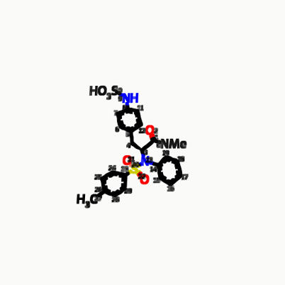 CNC(=O)[C@H](Cc1ccc(NS(=O)(=O)O)cc1)N(c1ccccc1)S(=O)(=O)c1ccc(C)cc1